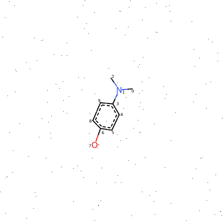 CN(C)c1ccc([O])cc1